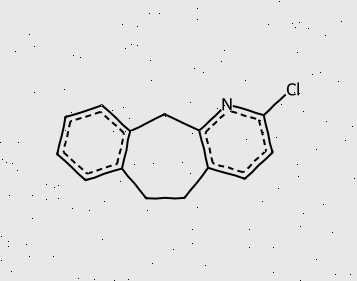 Clc1ccc2c(n1)Cc1ccccc1CC2